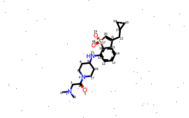 CN(C)CC(=O)N1CCC(Nc2cccc3c2S(=O)(=O)C=C3CC2CC2)CC1